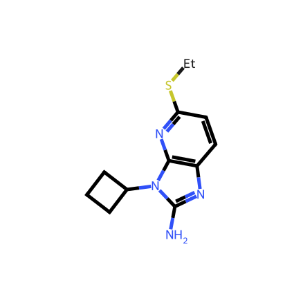 CCSc1ccc2nc(N)n(C3CCC3)c2n1